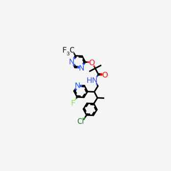 CC(c1ccc(Cl)cc1)C(CNC(=O)C(C)(C)Oc1cc(C(F)(F)F)ncn1)c1cncc(F)c1